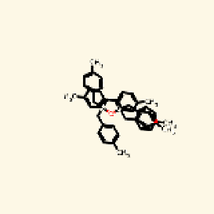 Cc1ccc(C[Si](Cc2ccc(C)cc2)(Cc2ccc(C)cc2)O[Si](Cc2ccc(C)cc2)(Cc2ccc(C)cc2)Cc2ccc(C)cc2)cc1